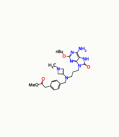 CCCCOc1nc(N)c2[nH]c(=O)n(CCCN(Cc3ccc(CC(=O)OC)cc3)C3CN(C)C3)c2n1